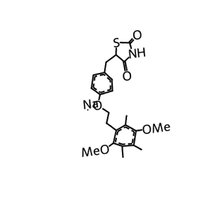 COc1c(C)c(C)c(OC)c(CCOc2ccc(CC3SC(=O)NC3=O)cc2)c1C.[Na]